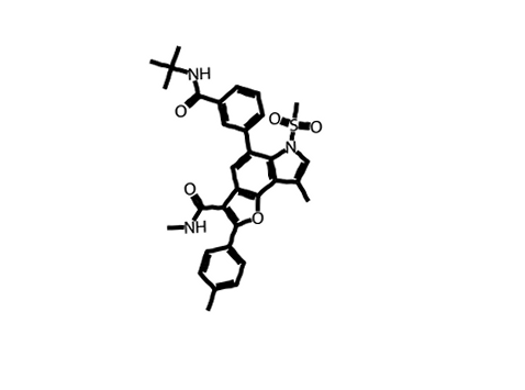 CNC(=O)c1c(-c2ccc(C)cc2)oc2c1cc(-c1cccc(C(=O)NC(C)(C)C)c1)c1c2c(C)cn1S(C)(=O)=O